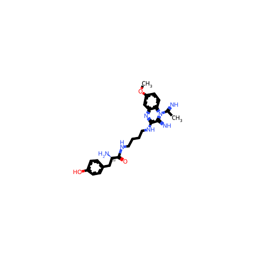 COc1ccc2c(c1)nc(NCCCCNC(=O)[C@@H](N)Cc1ccc(O)cc1)c(=N)n2C(C)=N